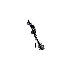 CCOC(=O)/C(C)=C/c1cc(F)c(Oc2ccc(S(=O)(=O)NCCOCCOCCOCCNC(=O)[C@H](O)[C@@H](O)C(=O)NC)cc2)c(F)c1